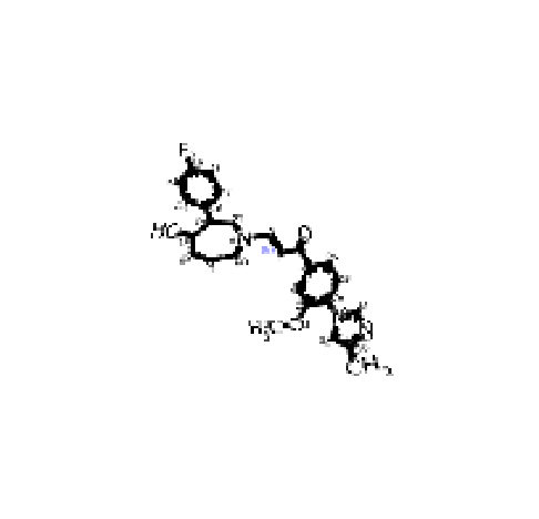 COc1cc(C(=O)/C=C/N2CCCC(O)C(c3ccc(F)cc3)C2)ccc1-n1cnc(C)c1